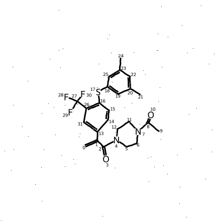 C=C(C(=O)N1CCN(C(C)=O)CC1)c1ccc(Sc2cc(C)cc(C)c2)c(C(F)(F)F)c1